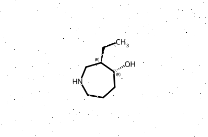 CC[C@@H]1CNCCC[C@H]1O